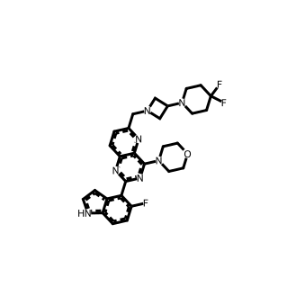 Fc1ccc2[nH]ccc2c1-c1nc(N2CCOCC2)c2nc(CN3CC(N4CCC(F)(F)CC4)C3)ccc2n1